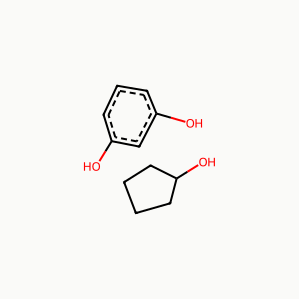 OC1CCCC1.Oc1cccc(O)c1